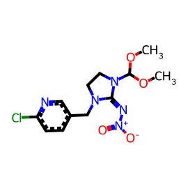 COC(OC)N1CCN(Cc2ccc(Cl)nc2)/C1=N\[N+](=O)[O-]